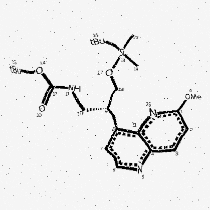 COc1ccc2nccc([C@H](CNC(=O)OC(C)(C)C)CO[Si](C)(C)C(C)(C)C)c2n1